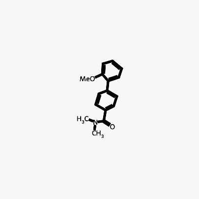 COc1ccccc1-c1ccc(C(=O)N(C)C)cc1